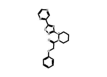 O=C(COc1ccccc1)N1CCCC[C@@H]1c1noc(-c2cnccn2)n1